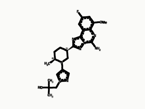 COc1cc(F)cc2c1nc(N)n1nc([C@H]3CC[C@H](C)N(c4cnn(CC(C)(C)O)c4)C3)nc21